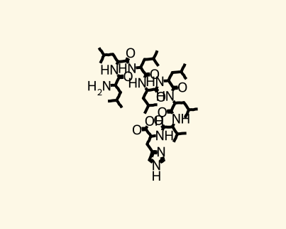 CC(C)CC(N)C(=O)NC(CC(C)C)C(=O)NC(CC(C)C)C(=O)NC(CC(C)C)C(=O)NC(CC(C)C)C(=O)NC(CC(C)C)C(=O)NC(C(=O)NC(Cc1c[nH]cn1)C(=O)O)C(C)C